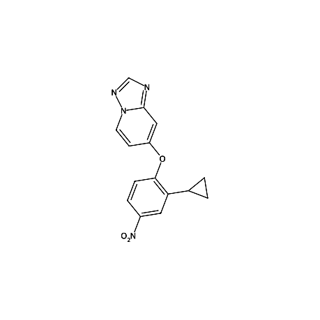 O=[N+]([O-])c1ccc(Oc2ccn3ncnc3c2)c(C2CC2)c1